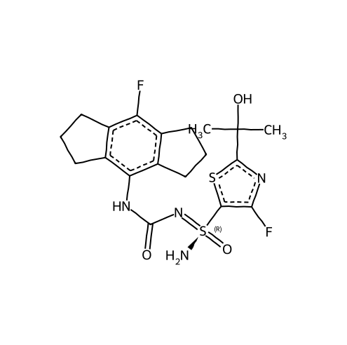 CC(C)(O)c1nc(F)c([S@](N)(=O)=NC(=O)Nc2c3c(c(F)c4c2CCC4)CCC3)s1